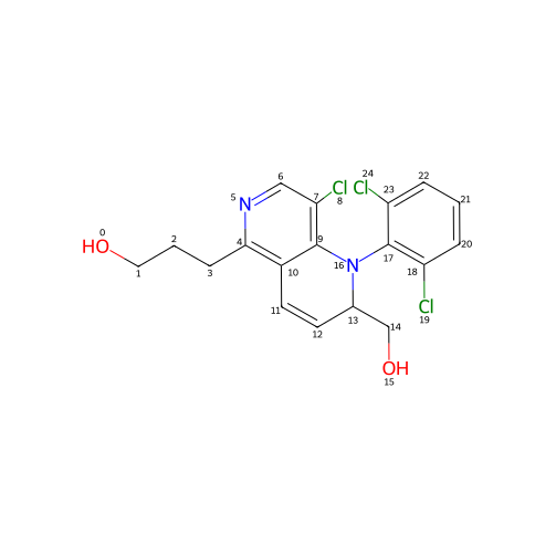 OCCCc1ncc(Cl)c2c1C=CC(CO)N2c1c(Cl)cccc1Cl